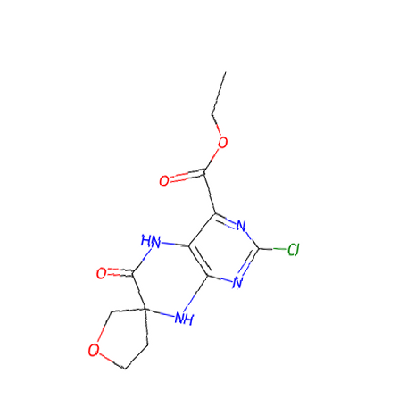 CCOC(=O)c1nc(Cl)nc2c1NC(=O)C1(CCOC1)N2